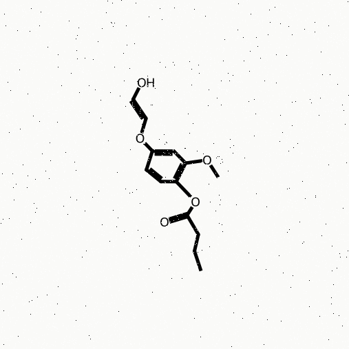 CCCC(=O)Oc1ccc(OC=CO)cc1OC